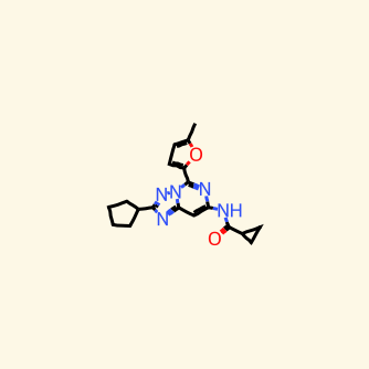 Cc1ccc(-c2nc(NC(=O)C3CC3)cc3nc(C4CCCC4)nn23)o1